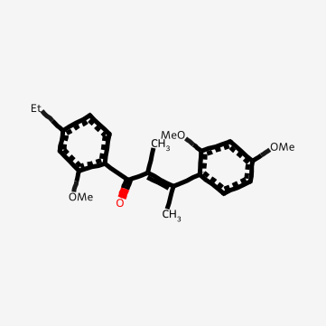 CCc1ccc(C(=O)/C(C)=C(\C)c2ccc(OC)cc2OC)c(OC)c1